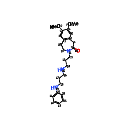 COc1cc2c(cc1OC)CC(=O)N(CCCNCCCNc1ccccc1)CC2